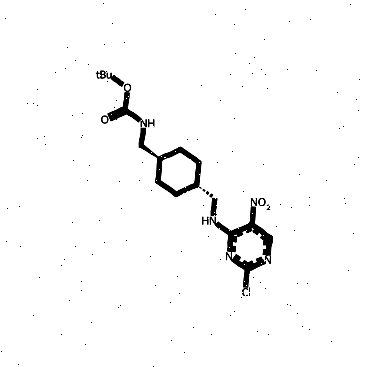 CC(C)(C)OC(=O)NC[C@H]1CC[C@H](CNc2nc(Cl)ncc2[N+](=O)[O-])CC1